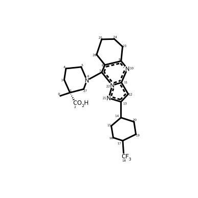 C[C@@]1(C(=O)O)CCCN(c2c3c(nc4cc(C5CCC(C(F)(F)F)CC5)nn24)CCCC3)C1